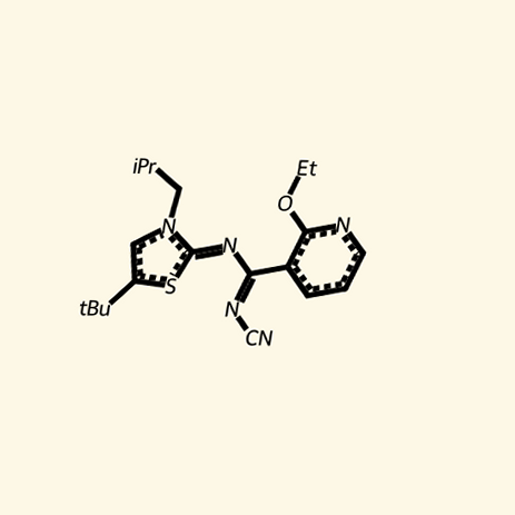 CCOc1ncccc1C(/N=c1\sc(C(C)(C)C)cn1CC(C)C)=N\C#N